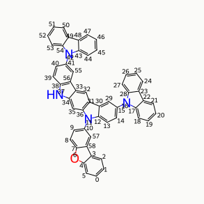 c1ccc2c(c1)oc1ccc(-n3c4ccc(-n5c6ccccc6c6ccccc65)cc4c4cc5c(cc43)[nH]c3ccc(-n4c6ccccc6c6ccccc64)cc35)cc12